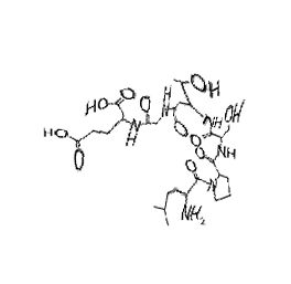 CC(C)CC(N)C(=O)N1CCCC1C(=O)NC(CO)C(=O)NC(C(=O)NCC(=O)NC(CCC(=O)O)C(=O)O)C(C)O